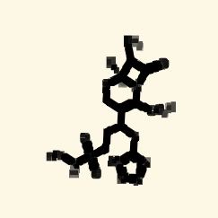 CCCNS(=O)(=O)CCC(Sc1nnn[nH]1)C1=C(C(=O)O)N2C(=O)C(N)[C@@H]2SC1